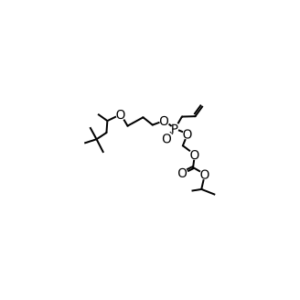 C=CCP(=O)(OCCCOC(C)CC(C)(C)C)OCOC(=O)OC(C)C